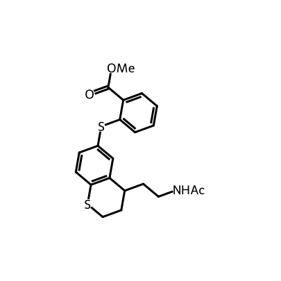 COC(=O)c1ccccc1Sc1ccc2c(c1)C(CCNC(C)=O)CCS2